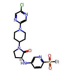 CCS(=O)(=O)c1ccc(N[C@H]2CCN(C3CCN(c4cnc(Cl)cn4)CC3)C2=O)cn1